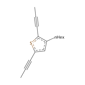 CC#Cc1cc(CCCCCC)c(C#CC)s1